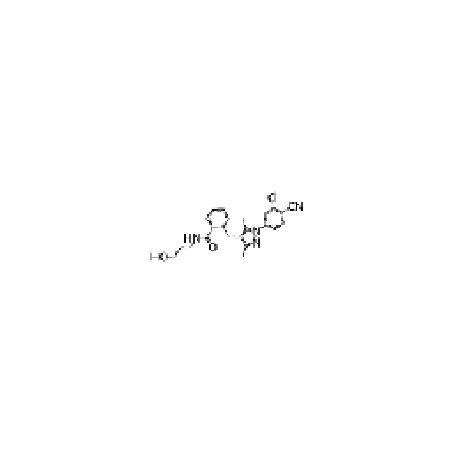 Cc1nn(-c2ccc(C#N)c(Cl)c2)c(C)c1Cc1ccccc1C(=O)NCCCO